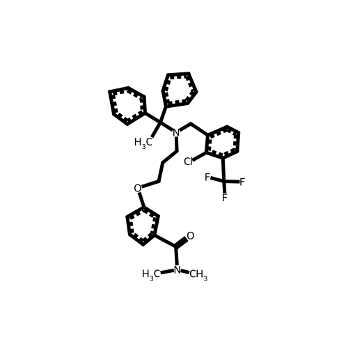 CN(C)C(=O)c1cccc(OCCCN(Cc2cccc(C(F)(F)F)c2Cl)C(C)(c2ccccc2)c2ccccc2)c1